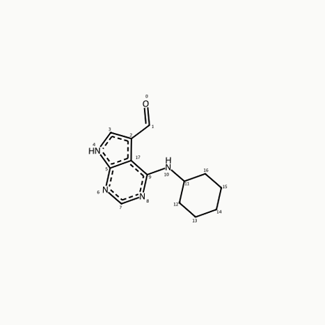 O=Cc1c[nH]c2ncnc(NC3CCCCC3)c12